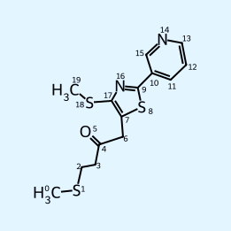 CSCCC(=O)Cc1sc(-c2cccnc2)nc1SC